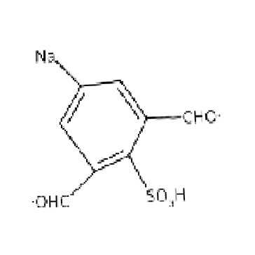 O=[C]c1c[c]([Na])cc([C]=O)c1S(=O)(=O)O